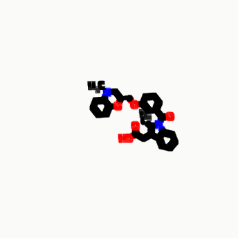 Cc1c(CC(=O)O)c2ccccc2n1C(=O)c1cccc(OC[C@@H]2CN(C)c3ccccc3O2)c1